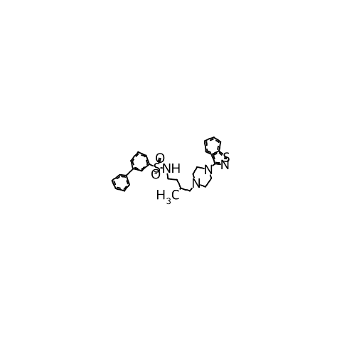 C[C@@H](CCNS(=O)(=O)c1cccc(-c2ccccc2)c1)CN1CCN(c2nsc3ccccc23)CC1